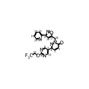 O=c1ccc(-c2cnc(OCC(F)(F)F)nc2)nn1Cc1cc(-c2ccccn2)no1